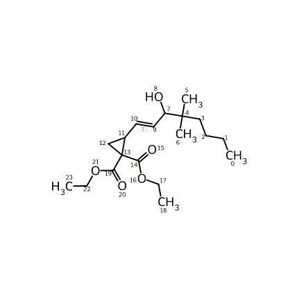 CCCCC(C)(C)C(O)/C=C/C1CC1(C(=O)OCC)C(=O)OCC